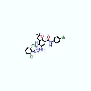 CC1(C)Cc2c3c(cc(C(=O)Nc4ccc(Br)cc4)c2O1)NC(Nc1c(Cl)cccc1Cl)N3